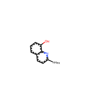 CCCCCCc1ccc2cccc(O)c2n1